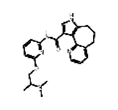 CC(COc1cccc(NC(=O)c2c[nH]c3c2-c2ncccc2CCC3)n1)N(C)C